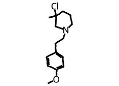 COc1ccc(CCN2CCCC(C)(Cl)C2)cc1